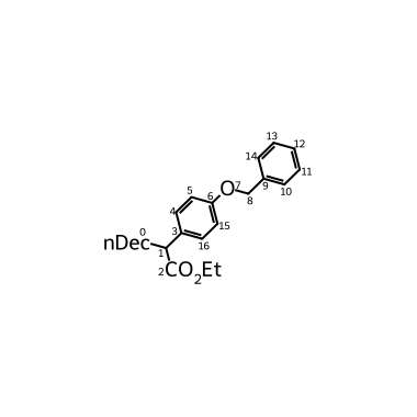 CCCCCCCCCCC(C(=O)OCC)c1ccc(OCc2ccccc2)cc1